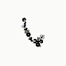 N#C[C@@](c1cccc(F)c1)(C1CCN(CC2CN(c3ccc(S(=O)(=O)C4CN(C(=O)/C=C/CN5CCCC5)C4)cc3)C2)CC1)[C@H]1CCC[C@@H]1NC(=O)O